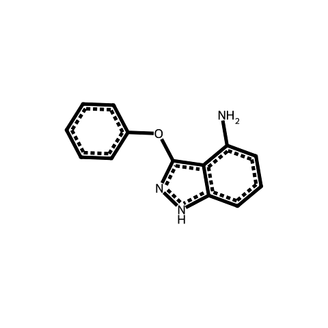 Nc1cccc2[nH]nc(Oc3ccccc3)c12